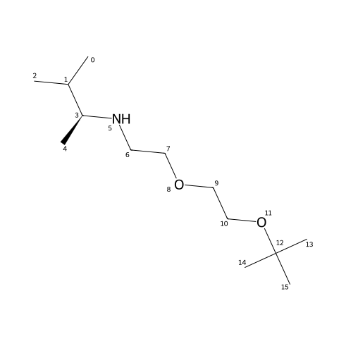 CC(C)[C@H](C)NCCOCCOC(C)(C)C